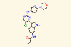 C=CC(=O)Nc1ccc2c(-c3nc(Nc4ccc(N5CCOCC5)nc4)ncc3Cl)cn(C)c2c1